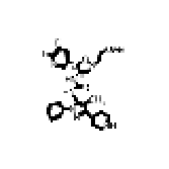 COCCN1C[C@@H](NC(=O)Nc2c(C)c(C3=CCNCC3)nn2-c2ccccc2)[C@H](c2cnc(F)c(F)c2)O1